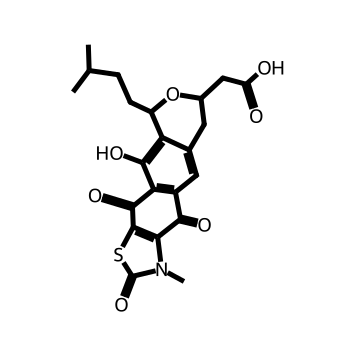 CC(C)CCC1OC(CC(=O)O)Cc2cc3c(c(O)c21)C(=O)c1sc(=O)n(C)c1C3=O